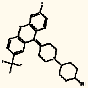 OC1CCC(N2CCC(=C3c4ccc(F)cc4Sc4ccc(C(F)(F)F)cc43)CC2)CC1